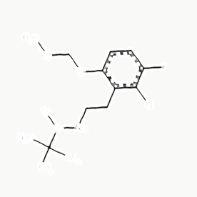 COCOc1ccc(F)c(Cl)c1CCN[S+]([O-])C(C)(C)C